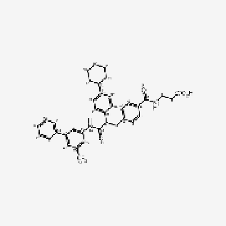 O=C(O)CCNC(=O)c1ccc(CC(C(=O)Nc2cc(-c3ccccc3)cc(C(F)(F)F)c2)c2ccc(C3CCCCC3)cc2)cc1